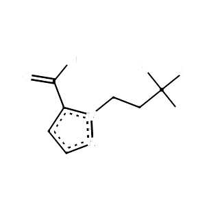 CC(=O)c1ccnn1CCC(F)(F)F